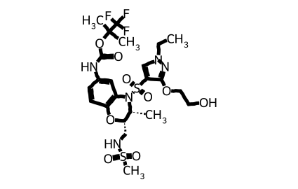 CCn1cc(S(=O)(=O)N2c3cc(NC(=O)OC(C)(C)C(F)(F)F)ccc3O[C@@H](CNS(C)(=O)=O)[C@H]2C)c(OCCO)n1